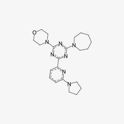 c1cc(-c2nc(N3CCCCCC3)nc(N3CCOCC3)n2)nc(N2CCCC2)c1